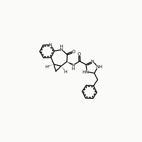 O=C(N[C@@H]1C(=O)Nc2ncccc2[C@@H]2C[C@H]12)C1=NNC(Cc2ccccc2)N1